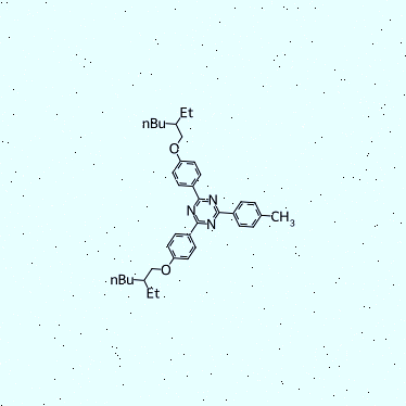 CCCCC(CC)COc1ccc(-c2nc(-c3ccc(C)cc3)nc(-c3ccc(OCC(CC)CCCC)cc3)n2)cc1